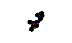 c1ccc(-c2ccc(N(c3ccc(-c4ccc5c6ccc7ccccc7c6n(-c6ccccc6)c5c4)cc3)c3cccc4sc5c(-c6ccccc6)cccc5c34)cc2)cc1